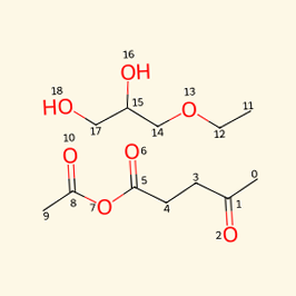 CC(=O)CCC(=O)OC(C)=O.CCOCC(O)CO